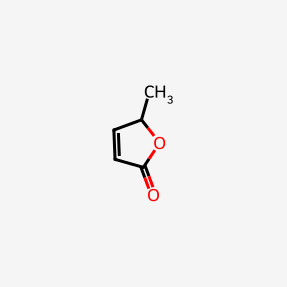 CC1C=CC(=O)O1